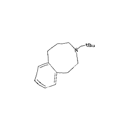 CC(C)(C)N1CCCc2ccccc2CC1